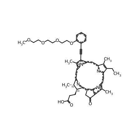 CCC1=C(C)c2cc3[nH]c(cc4nc(c5c6[nH]c(cc1n2)c(C)c6C(=O)C5)[C@@H](CCC(=O)O)[C@@H]4C)c(C)c3C#Cc1ccccc1OCCOCCOCCOC